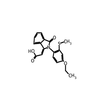 CCOc1ccc(N2C(=O)c3ccccc3C2=CC(=O)O)c(SC)c1